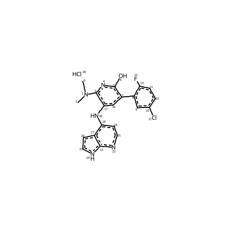 CN(C)c1nc(O)c(-c2cc(Cl)ccc2F)cc1Nc1ccnc2[nH]ccc12.Cl